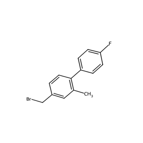 Cc1cc(CBr)ccc1-c1ccc(F)cc1